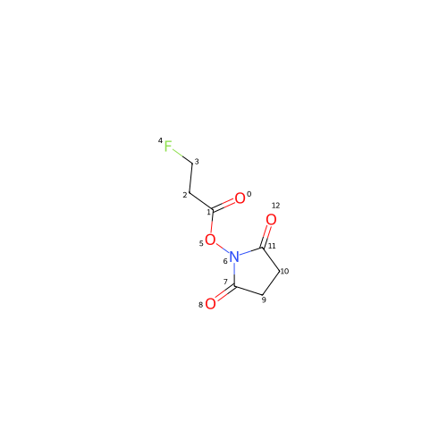 O=C(CCF)ON1C(=O)CCC1=O